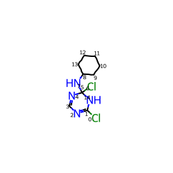 ClC1=NC=NC(Cl)(NC2CCCCC2)N1